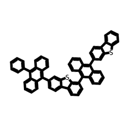 c1ccc(-c2c3ccccc3c(-c3ccc4c(c3)sc3c(-c5c6ccccc6c(-c6ccc7c(c6)sc6ccccc67)c6ccccc56)cccc34)c3ccccc23)cc1